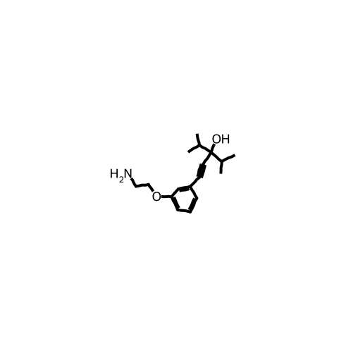 CC(C)C(O)(C#Cc1cccc(OCCN)c1)C(C)C